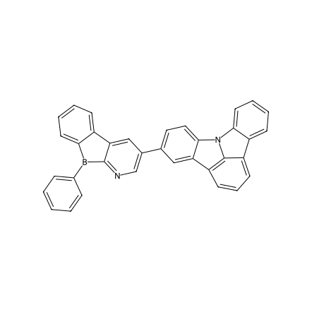 c1ccc(B2c3ccccc3-c3cc(-c4ccc5c(c4)c4cccc6c7ccccc7n5c64)cnc32)cc1